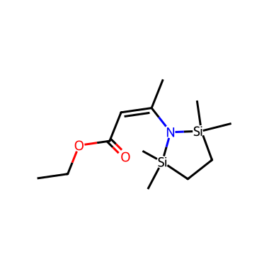 CCOC(=O)/C=C(/C)N1[Si](C)(C)CC[Si]1(C)C